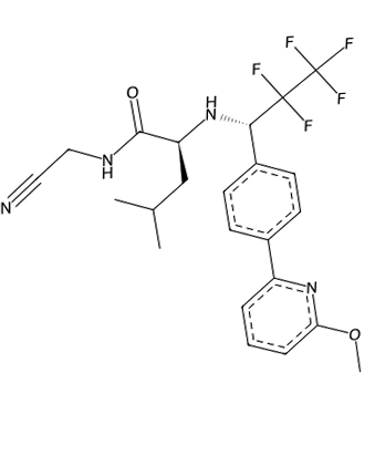 COc1cccc(-c2ccc([C@H](N[C@@H](CC(C)C)C(=O)NCC#N)C(F)(F)C(F)(F)F)cc2)n1